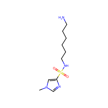 Cn1cnc(S(=O)(=O)NCCCCCCN)c1